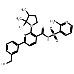 CC1CCN(c2nc(-c3cccc(CO)c3)ccc2C(=O)NS(=O)(=O)c2cccnc2N)C1(C)C